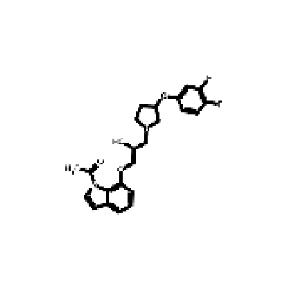 CC(=O)n1ccc2cccc(OCC(O)CN3CCC(Oc4ccc(F)c(F)c4)C3)c21